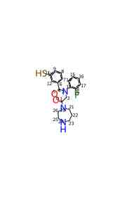 O=C(CN(C(=O)c1cccc(S)c1)c1ccccc1F)N1CCCNCC1